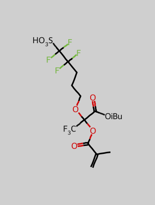 C=C(C)C(=O)OC(OCCCC(F)(F)C(F)(F)S(=O)(=O)O)(C(=O)OCC(C)C)C(F)(F)F